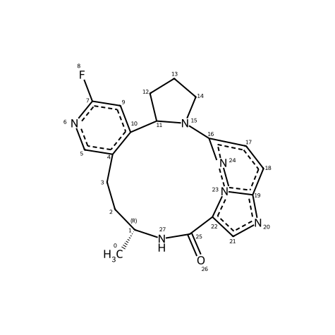 C[C@@H]1CCc2cnc(F)cc2C2CCCN2c2ccc3ncc(n3n2)C(=O)N1